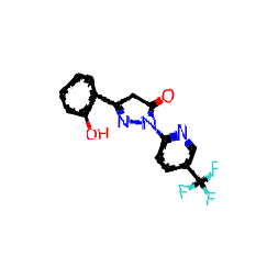 O=C1CC(c2ccccc2O)=NN1c1ccc(C(F)(F)F)cn1